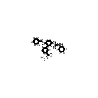 NC(=O)c1cccc(-c2cc(OC(=O)NC3CCCCC3)ccc2OCc2ccccc2)c1